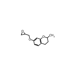 CC1CCc2ccc(OCC3CO3)cc2O1